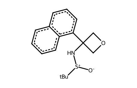 CC(C)(C)[S+]([O-])NC1(c2cccc3ccccc23)COC1